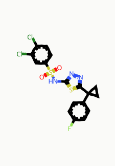 O=S(=O)(Nc1nnc(C2(c3ccc(F)cc3)CC2)s1)c1ccc(Cl)c(Cl)c1